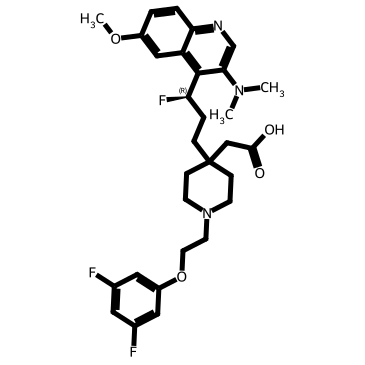 COc1ccc2ncc(N(C)C)c([C@H](F)CCC3(CC(=O)O)CCN(CCOc4cc(F)cc(F)c4)CC3)c2c1